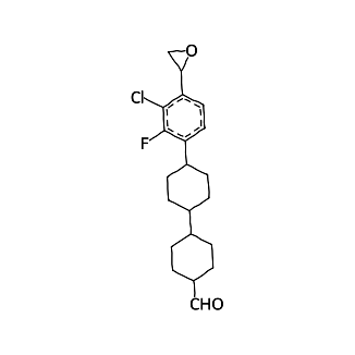 O=CC1CCC(C2CCC(c3ccc(C4CO4)c(Cl)c3F)CC2)CC1